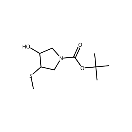 CSC1CN(C(=O)OC(C)(C)C)CC1O